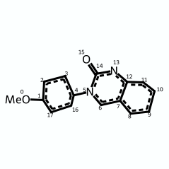 COc1ccc(-n2cc3ccccc3nc2=O)cc1